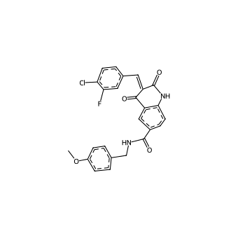 COc1ccc(CNC(=O)c2ccc3c(c2)C(=O)/C(=C\c2ccc(Cl)c(F)c2)C(=O)N3)cc1